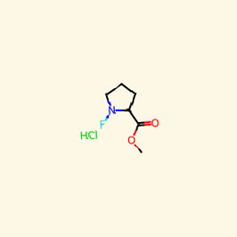 COC(=O)C1CCCN1F.Cl